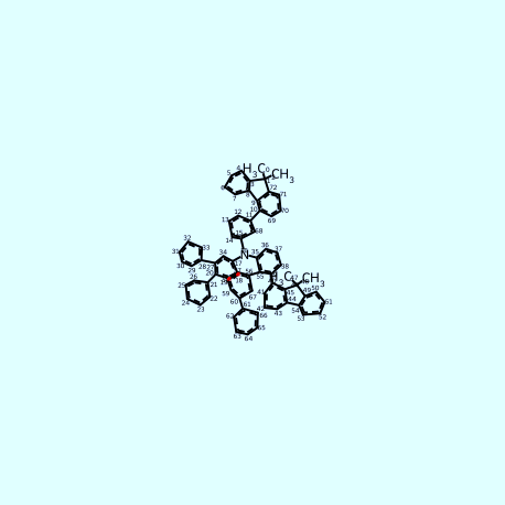 CC1(C)c2ccccc2-c2c(-c3cccc(N(c4ccc(-c5ccccc5)c(-c5ccccc5)c4)c4cccc(-c5cccc6c5C(C)(C)c5ccccc5-6)c4-c4cccc(-c5ccccc5)c4)c3)cccc21